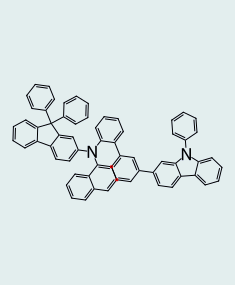 c1ccc(-n2c3ccccc3c3ccc(-c4cccc(-c5ccccc5N(c5ccc6c(c5)C(c5ccccc5)(c5ccccc5)c5ccccc5-6)c5cccc6ccccc56)c4)cc32)cc1